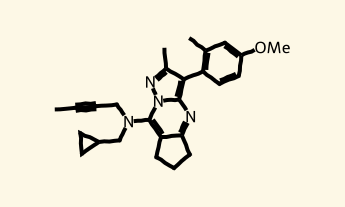 CC#CCN(CC1CC1)c1c2c(nc3c(-c4ccc(OC)cc4C)c(C)nn13)CCC2